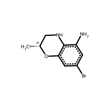 C[C@@H]1CNc2c(N)cc(Br)cc2O1